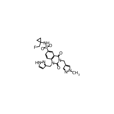 Cn1cc(Cn2c(=O)c3cc(S(=O)(=O)NC4(CF)CC4)ccc3n(Cc3cc[nH]n3)c2=O)cn1